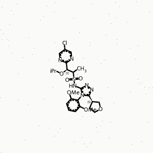 COc1cccc(OC)c1-n1c(NS(=O)(=O)C(C)[C@@H](OC(C)C)c2ncc(Cl)cn2)nnc1[C@@H]1CCOC1